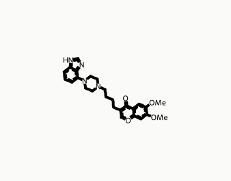 COc1cc2occ(CCCCN3CCN(c4cccc5[nH]cnc45)CC3)c(=O)c2cc1OC